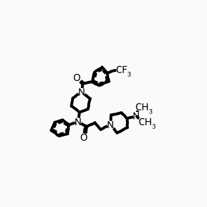 CN(C)C1CCN(CCC(=O)N(c2ccccc2)C2CCN(C(=O)c3ccc(C(F)(F)F)cc3)CC2)CC1